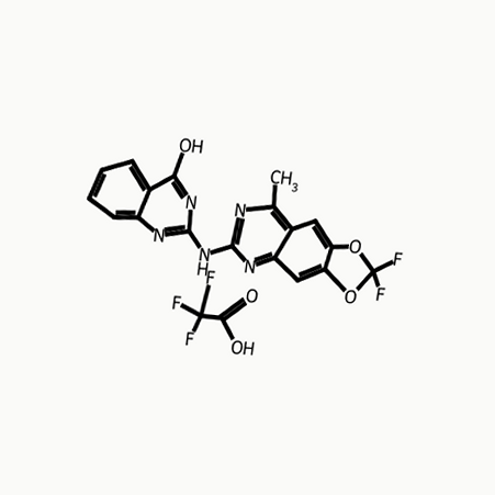 Cc1nc(Nc2nc(O)c3ccccc3n2)nc2cc3c(cc12)OC(F)(F)O3.O=C(O)C(F)(F)F